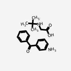 CC(C)(C)NCC(=O)O.N.O=C(c1ccccc1)c1ccccc1